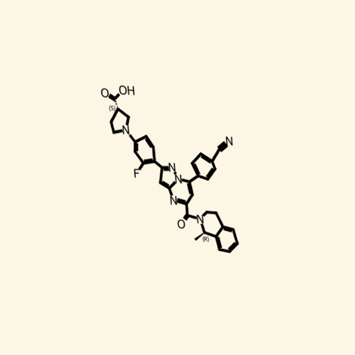 C[C@@H]1c2ccccc2CCN1C(=O)c1cc(-c2ccc(C#N)cc2)n2nc(-c3ccc(N4CC[C@H](C(=O)O)C4)cc3F)cc2n1